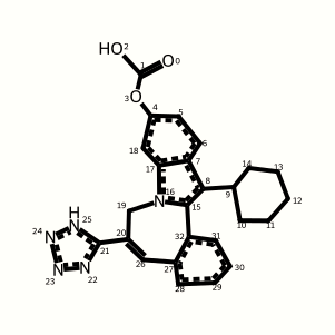 O=C(O)Oc1ccc2c(C3CCCCC3)c3n(c2c1)CC(c1nnn[nH]1)=Cc1ccccc1-3